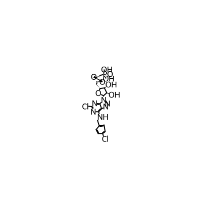 O=P(O)(O)CS(=O)(=O)C[C@H]1O[C@@H](n2nnc3c(NCc4ccc(Cl)cc4)nc(Cl)nc32)[C@H](O)[C@@H]1O